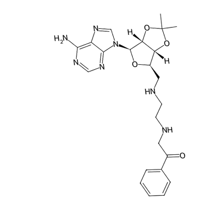 CC1(C)O[C@@H]2[C@H](O1)[C@@H](CNCCNCC(=O)c1ccccc1)O[C@H]2n1cnc2c(N)ncnc21